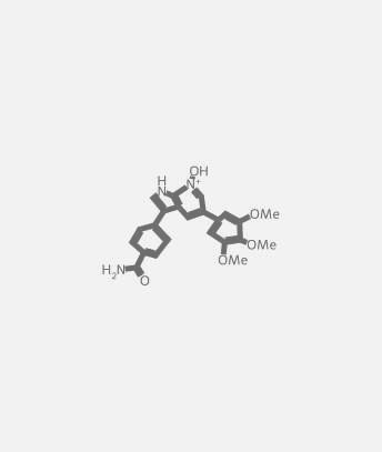 COc1cc(-c2cc3c(-c4ccc(C(N)=O)cc4)c[nH]c3[n+](O)c2)cc(OC)c1OC